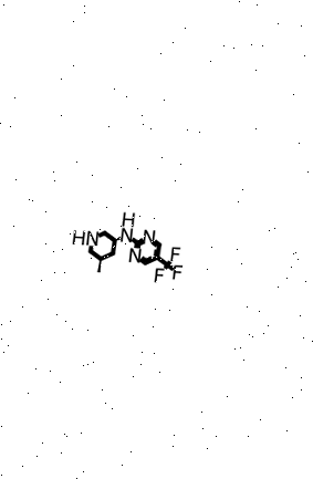 C[C@H]1CNC[C@@H](Nc2ncc(C(F)(F)F)cn2)C1